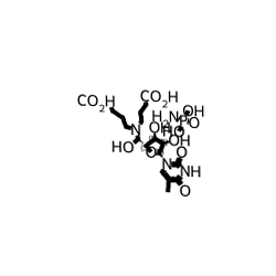 Cc1cn([C@@H]2O[C@H](C(O)N(CCCC(=O)O)CCCC(=O)O)[C@@H](O)[C@H]2O)c(=O)[nH]c1=O.NP(=O)(O)O